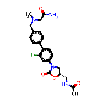 CC(=O)NC[C@H]1CN(c2ccc(-c3ccc(CN(C)CC(N)=O)cc3)c(F)c2)C(=O)O1